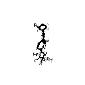 C[C@@H](NC(=O)c1ccc(C#Cc2cccc(F)c2)cn1)C(C)(C)O